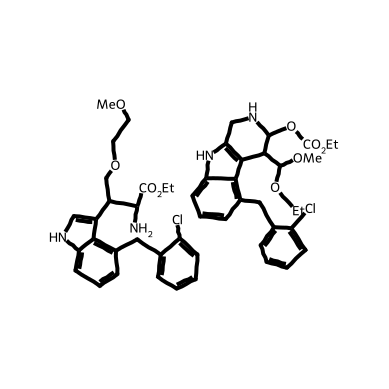 CCOC(=O)C(N)C(COCCOC)c1c[nH]c2cccc(Cc3ccccc3Cl)c12.CCOC(=O)OC1NCc2[nH]c3cccc(Cc4ccccc4Cl)c3c2C1C(OC)OCC